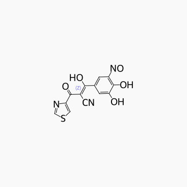 N#C/C(C(=O)c1cscn1)=C(/O)c1cc(O)c(O)c(N=O)c1